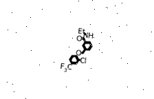 CCNC(=O)c1cccc(COc2ccc(C(F)(F)F)cc2Cl)c1